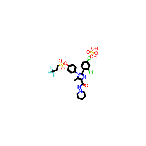 Cc1c(C(=O)NN2CCCCC2)nc(-c2ccc(Cl)cc2Cl)n1-c1ccc(OS(=O)(=O)CCC(F)(F)F)cc1.O=S(=O)(O)O